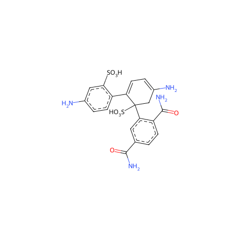 NC(=O)c1ccc(C(N)=O)c(C2(S(=O)(=O)O)CC(N)=CC=C2c2ccc(N)cc2S(=O)(=O)O)c1